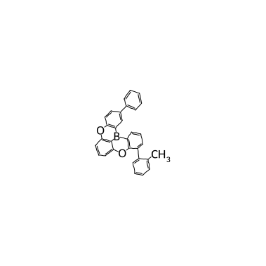 Cc1ccccc1-c1cccc2c1Oc1cccc3c1B2c1cc(-c2ccccc2)ccc1O3